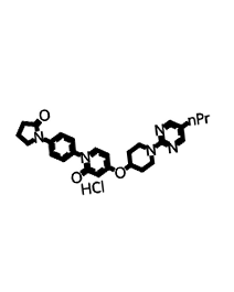 CCCc1cnc(N2CCC(Oc3ccn(-c4ccc(N5CCCC5=O)cc4)c(=O)c3)CC2)nc1.Cl